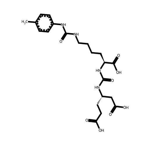 Cc1ccc(NC(=O)NCCCC[C@H](NC(=O)N[C@@H](CCC(=O)O)CC(=O)O)C(=O)O)cc1